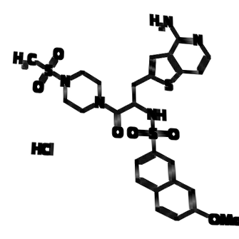 COc1ccc2ccc(S(=O)(=O)NC(Cc3cc4c(N)nccc4s3)C(=O)N3CCN(S(C)(=O)=O)CC3)cc2c1.Cl